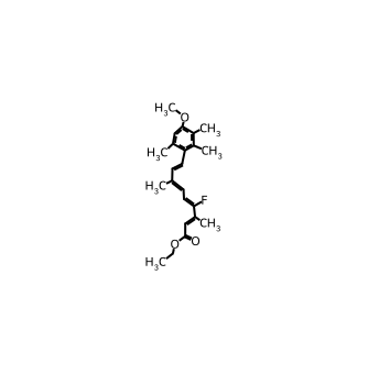 CCOC(=O)C=C(C)C(F)=CC=C(C)C=Cc1c(C)cc(OC)c(C)c1C